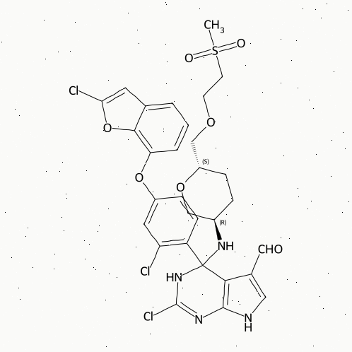 CS(=O)(=O)CCOC[C@@H]1CC[C@@H](NC2(c3ccc(Oc4cccc5cc(Cl)oc45)cc3Cl)NC(Cl)=Nc3[nH]cc(C=O)c32)CO1